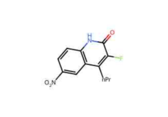 CCCc1c(F)c(=O)[nH]c2ccc([N+](=O)[O-])cc12